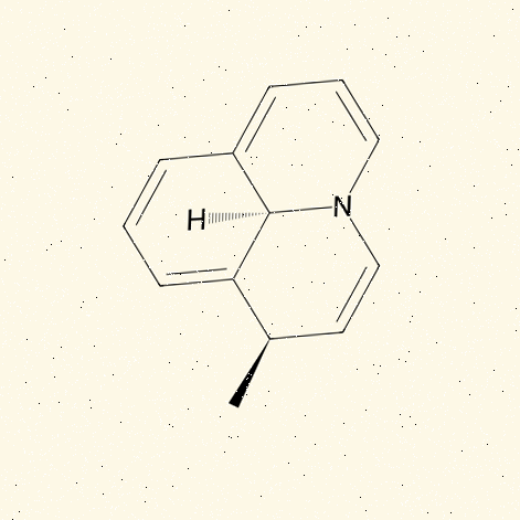 C[C@@H]1C=CN2C=CC=C3C=CC=C1[C@@H]32